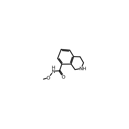 CONC(=O)c1cccc2c1CNCC2